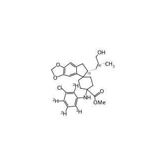 [2H]c1c([2H])c(Cl)c([2H])c(NC2(C(=O)OC)CCC3(CC2)c2cc4c(cc2C[C@@H]3C[C@@H](C)CO)OCO4)c1[2H]